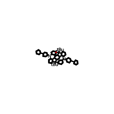 CC(C)(C)c1ccc(N(c2ccc(-c3ccccc3)cc2)c2cccc3c2-c2cc4c(cc2C3(C)C)-c2c(N(c3ccc(-c5ccccc5)cc3)c3ccc(C(C)(C)C)cc3)cccc2C4(C)C)cc1